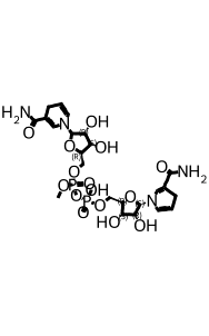 COP(=O)(OC[C@H]1OC(N2C=CCC(C(N)=O)=C2)[C@H](O)[C@@H]1O)OP(=O)(O)OC[C@H]1O[C@H](N2C=CCC(C(N)=O)=C2)[C@H](O)[C@@H]1O